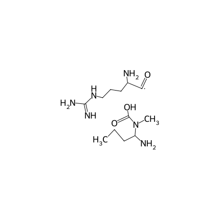 CCCC(N)N(C)C(=O)O.N=C(N)NCCCC(N)[C]=O